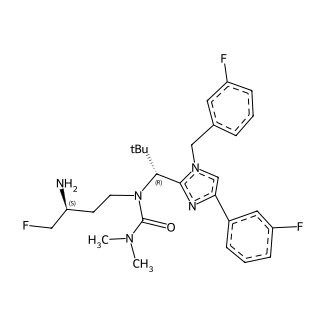 CN(C)C(=O)N(CC[C@H](N)CF)[C@@H](c1nc(-c2cccc(F)c2)cn1Cc1cccc(F)c1)C(C)(C)C